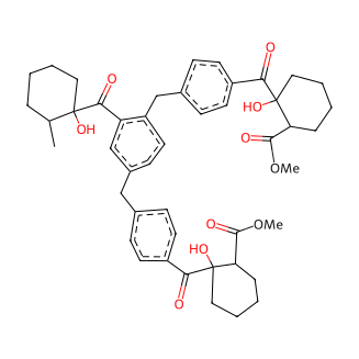 COC(=O)C1CCCCC1(O)C(=O)c1ccc(Cc2ccc(Cc3ccc(C(=O)C4(O)CCCCC4C(=O)OC)cc3)c(C(=O)C3(O)CCCCC3C)c2)cc1